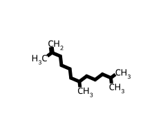 C=C(C)CCCCC(C)CCCC(C)C